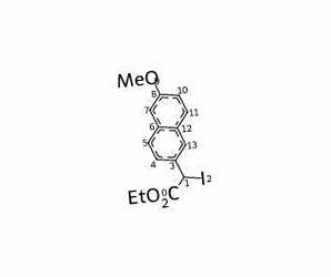 CCOC(=O)C(I)c1ccc2cc(OC)ccc2c1